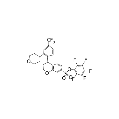 O=S(=O)(Oc1c(F)c(F)c(F)c(F)c1F)c1ccc2c(c1)OCCC2c1ccc(C(F)(F)F)cc1C1CCOCC1